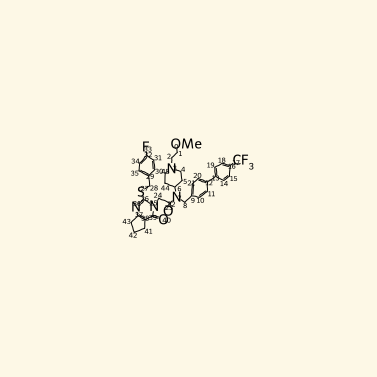 COCCN1CCC(N(Cc2ccc(-c3ccc(C(F)(F)F)cc3)cc2)C(=O)Cn2c(SCc3ccc(F)cc3)nc3c(c2=O)CCC3)CC1